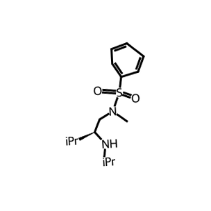 CC(C)N[C@H](CN(C)S(=O)(=O)c1ccccc1)C(C)C